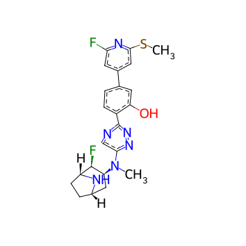 CSc1cc(-c2ccc(-c3ncc(N(C)[C@H]4C[C@@H]5CC[C@@H](N5)[C@H]4F)nn3)c(O)c2)cc(F)n1